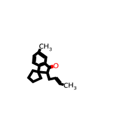 CC=CCC1C(=O)c2cc(C)ccc2C12CCCC2